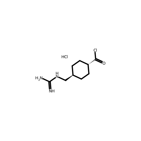 Cl.N=C(N)NC[C@H]1CC[C@H](C(=O)Cl)CC1